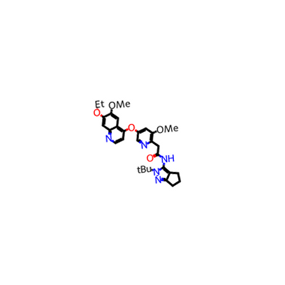 CCOc1cc2nccc(Oc3cnc(CC(=O)Nc4c5c(nn4C(C)(C)C)CCC5)c(OC)c3)c2cc1OC